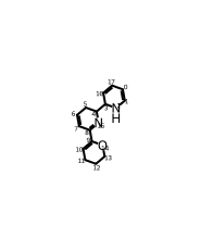 C1=CNC(C2CC=CC(C3=CCCCO3)=N2)C=C1